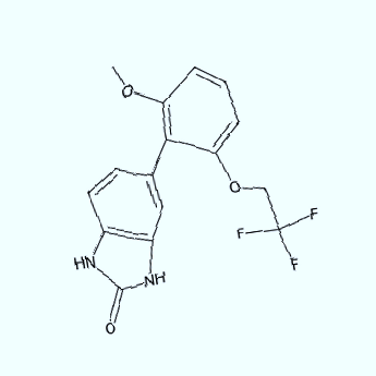 COc1cccc(OCC(F)(F)F)c1-c1ccc2[nH]c(=O)[nH]c2c1